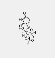 C[C@@]1(O)[C@@H]2O[PH](=S)OC[C@H]2O[C@H]1n1ccc(=O)[nH]c1=O